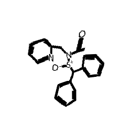 CC(=O)N(Cc1ccccn1)[S+]([O-])C(c1ccccc1)c1ccccc1